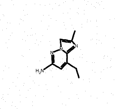 CCc1cc(N)nn2cc(C)nc12